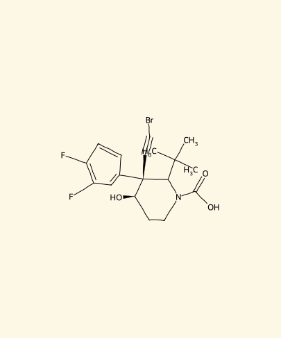 CC(C)(C)C1N(C(=O)O)CC[C@@H](O)[C@]1(C#CBr)c1ccc(F)c(F)c1